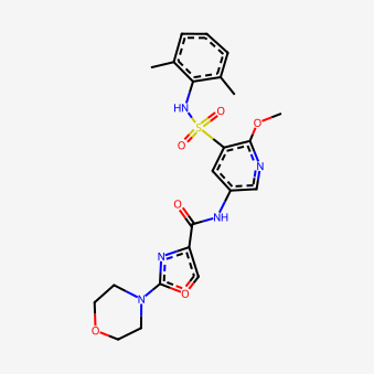 COc1ncc(NC(=O)c2coc(N3CCOCC3)n2)cc1S(=O)(=O)Nc1c(C)cccc1C